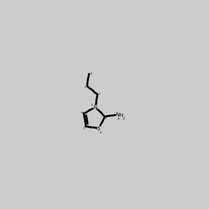 CCCN1C=CSC1N